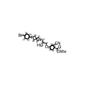 COC(=O)c1ccc(OC[C@H](O)CN2CC3(C2)CN(c2ccc(Br)cc2)C3)cc1C#N